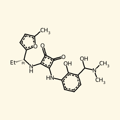 CC[C@@H](Nc1c(Nc2cccc(C(O)N(C)C)c2O)c(=O)c1=O)c1ccc(C)o1